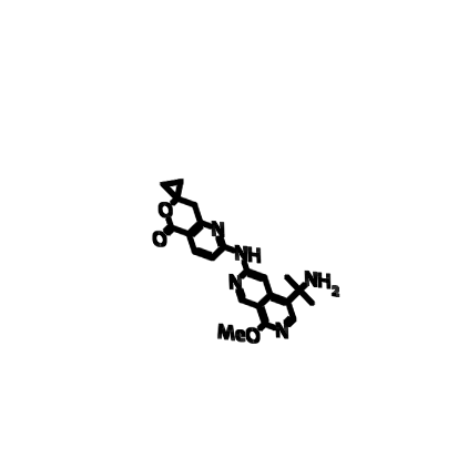 COc1ncc(C(C)(C)N)c2cc(Nc3ccc4c(n3)CC3(CC3)OC4=O)ncc12